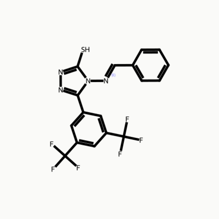 FC(F)(F)c1cc(-c2nnc(S)n2/N=C/c2ccccc2)cc(C(F)(F)F)c1